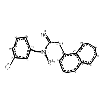 CN(C(=N)Nc1cccc2ccccc12)c1cccc([N+](=O)[O-])c1